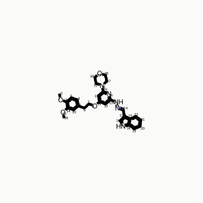 COc1ccc(CCOc2cc(N/N=C/c3c[nH]c4ccccc34)nc(N3CCOCC3)c2)cc1OC